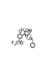 CC1(C)Oc2ccc([S+]([O-])C(F)(F)F)cc2[C@@H](N2CCN(Cc3ccccc3)CC2=O)[C@@H]1O